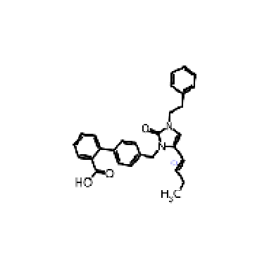 CC/C=C/c1cn(CCc2ccccc2)c(=O)n1Cc1ccc(-c2ccccc2C(=O)O)cc1